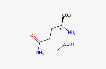 CS(=O)(=O)O.NC(=O)CC[C@H](N)C(=O)O